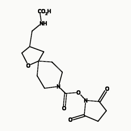 O=C(O)NCC1COC2(CCN(C(=O)ON3C(=O)CCC3=O)CC2)C1